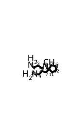 CN(CCCN)C1(CCCN)CCCC1